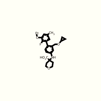 CCOc1cc(C)cc(-c2ccc(NC3(C(=O)O)CCOCC3)cc2COC2CC2)c1F